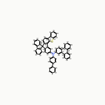 c1ccc(-c2ccc(N(c3ccc4c(c3)-c3c(ccc5c3sc3ccccc35)C4(c3ccccc3)c3ccccc3)c3ccc4c5ccccc5c5ccccc5c4c3)cc2)cc1